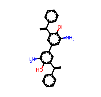 C=C(c1ccccc1)c1cc(-c2cc(N)c(O)c(C(=C)c3ccccc3)c2)cc(N)c1O